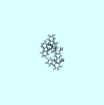 N#Cc1ccc(-n2c3ccccc3c3cccc(C#N)c32)cc1-c1cccc(-n2c3ccccc3c3cccc(-n4c5ccccc5c5ccccc54)c32)c1